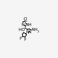 Nc1cc(C(O)C2=NC=C(Cl)CN2)n(-c2ccc(F)c(F)c2)n1